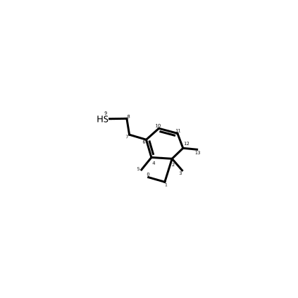 CCC1(C)C(C)=C(CCS)C=CC1C